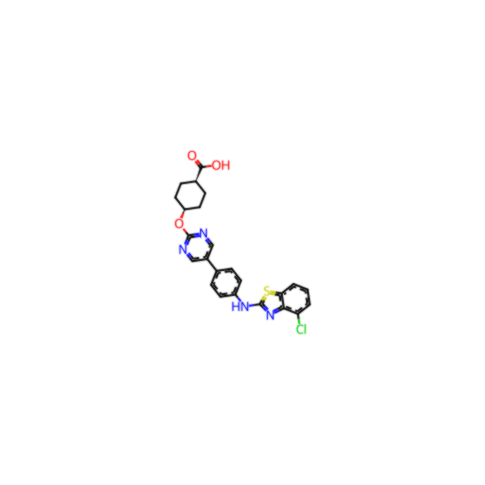 O=C(O)[C@H]1CC[C@@H](Oc2ncc(-c3ccc(Nc4nc5c(Cl)cccc5s4)cc3)cn2)CC1